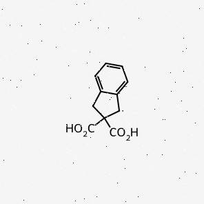 O=C(O)C1(C(=O)O)[CH]c2ccccc2C1